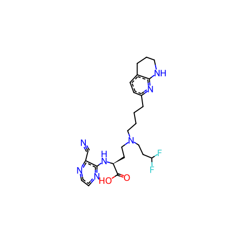 N#Cc1nccnc1N[C@@H](CCN(CCCCc1ccc2c(n1)NCCC2)CCC(F)F)C(=O)O